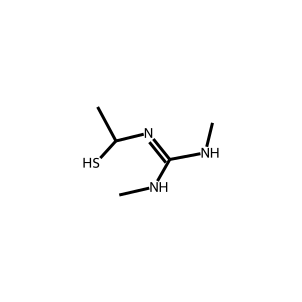 CNC(=NC(C)S)NC